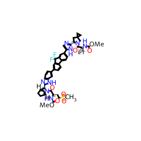 COC(=O)N[C@@H](CCS(C)(=O)=O)C(=O)N1[C@@H]2CC[C@@H](C2)[C@H]1c1nc2ccc(-c3ccc4c(c3)C(F)(F)c3cc(-c5cnc([C@@H]6CC7(CC7)CN6C(=O)[C@@H](NC(=O)OC)C(C)C)[nH]5)ccc3-4)cc2[nH]1